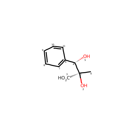 C[C@](O)(C(=O)O)[C@@H](O)c1ccccc1